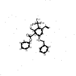 C=Cc1cc(OCc2ccccc2)c(C(=O)Oc2ccccc2)c(C)c1C(F)(F)F